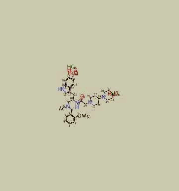 COc1ccccc1CN(C[C@@H](Cc1c[nH]c2ccccc12)NC(=O)CN1CCC(N2CCCCC2)CC1)C(C)=O.Cl.Cl.O.O.O